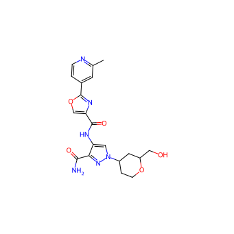 Cc1cc(-c2nc(C(=O)Nc3cn(C4CCOC(CO)C4)nc3C(N)=O)co2)ccn1